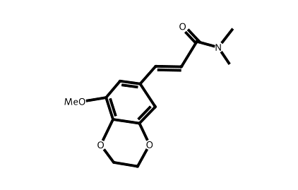 COc1cc(C=CC(=O)N(C)C)cc2c1OCCO2